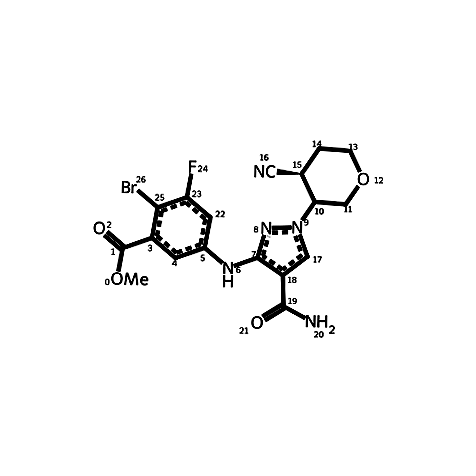 COC(=O)c1cc(Nc2nn(C3COCC[C@@H]3C#N)cc2C(N)=O)cc(F)c1Br